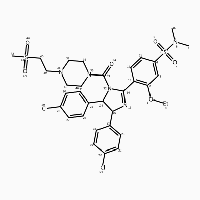 CCOc1cc(S(=O)(=O)N(C)C)ccc1C1=NC(c2ccc(Cl)cc2)C(c2ccc(Cl)cc2)N1C(=O)N1CCN(CCS(C)(=O)=O)CC1